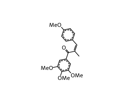 COc1ccc(C=C(C)C(=O)c2cc(OC)c(OC)c(OC)c2)cc1